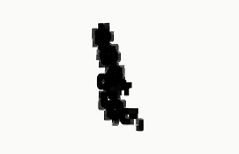 CC(C)[C@]1(C(=O)N2CCc3ccc(C(F)(F)F)cc3C2)CCC(N2CCC(n3ccnc3)CC2)C1